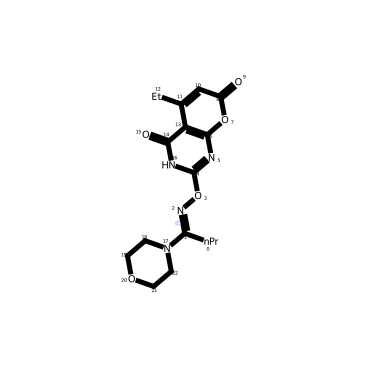 CCC/C(=N\Oc1nc2oc(=O)cc(CC)c2c(=O)[nH]1)N1CCOCC1